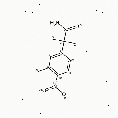 Cc1cc(C(C)(C)C(N)=O)ccc1[N+](=O)[O-]